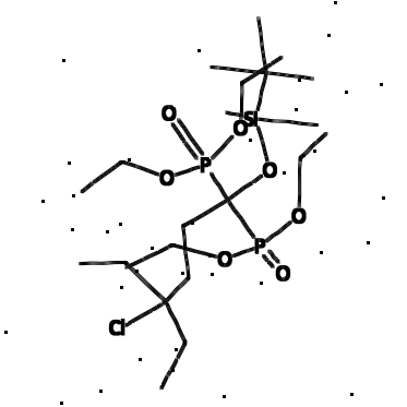 CCOP(=O)(OCC)C(CCC(Cl)(CC)CC)(O[Si](C)(C)C(C)(C)C)P(=O)(OCC)OCC